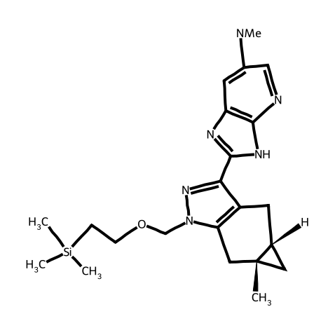 CNc1cnc2[nH]c(-c3nn(COCC[Si](C)(C)C)c4c3C[C@@H]3C[C@]3(C)C4)nc2c1